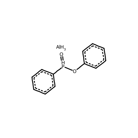 O=[PH](Oc1ccccc1)c1ccccc1.[AlH3]